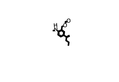 C=C(CCC)c1ccc(NC)c(COC=O)c1